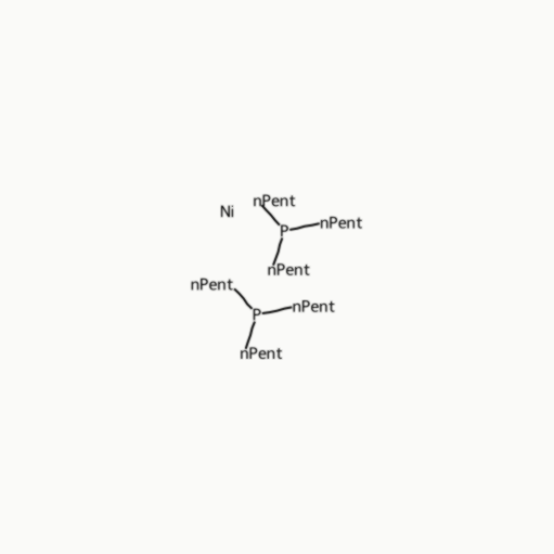 CCCCCP(CCCCC)CCCCC.CCCCCP(CCCCC)CCCCC.[Ni]